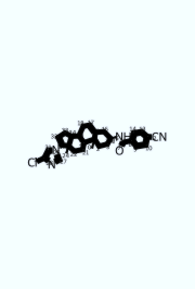 C[C@]12CC[C@H](NC(=O)c3ccc(C#N)cc3)CC1=CCC1C2CC[C@]2(C)C(n3cnc(Cl)c3)=CCC12